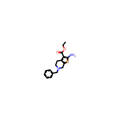 CCOC(=O)c1c(N)sc2c1CCN(Cc1ccccc1)C2